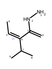 C=C(NN)/C(=C\C)C(C)C